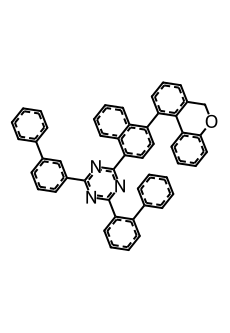 c1ccc(-c2cccc(-c3nc(-c4ccccc4-c4ccccc4)nc(-c4ccc(-c5cccc6c5-c5ccccc5OC6)c5ccccc45)n3)c2)cc1